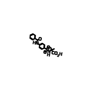 CC(C)(NS(=O)(=O)c1ccc(NC(=O)c2ccccc2)cc1)C(=O)O